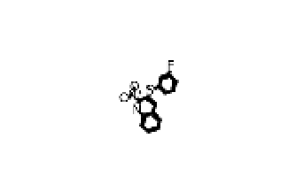 O=[N+]([O-])c1nc2ccccc2cc1Sc1cccc(F)c1